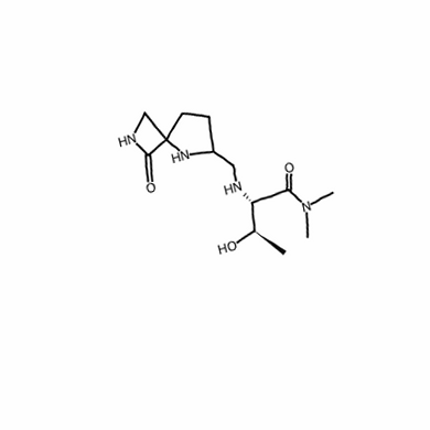 C[C@@H](O)[C@H](NCC1CCC2(CNC2=O)N1)C(=O)N(C)C